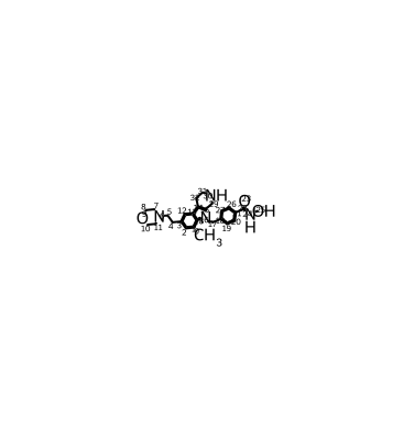 Cc1cc(CCN2CCOCC2)cc2c3c(n(Cc4ccc(C(=O)NO)cc4)c12)CNCC3